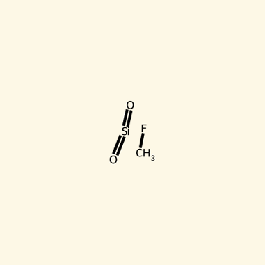 CF.O=[Si]=O